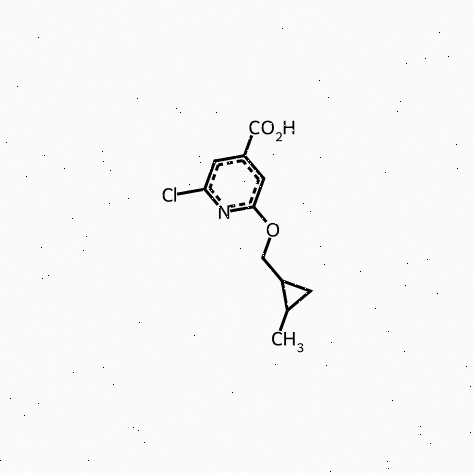 CC1CC1COc1cc(C(=O)O)cc(Cl)n1